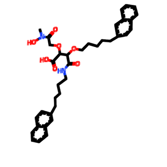 CN(O)C(=O)COC(C(=O)O)C(OCCCCCc1ccc2ccccc2c1)C(=O)NCCCCCc1ccc2ccccc2c1